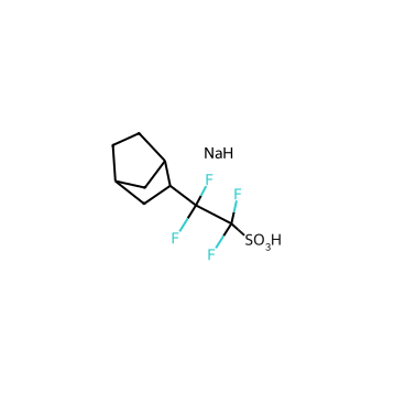 O=S(=O)(O)C(F)(F)C(F)(F)C1CC2CCC1C2.[NaH]